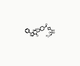 C=CS(=O)(=O)N[C@H]1C[C@H](C(=O)N2CCC(O)(Cn3cnc4c(cnn4-c4ccccc4)c3=O)CC2)C1